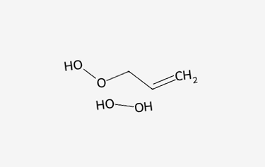 C=CCOO.OO